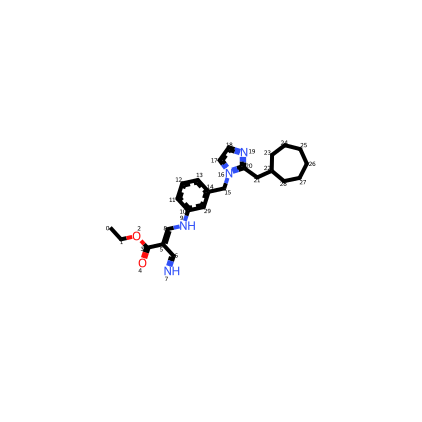 CCOC(=O)/C(C=N)=C/Nc1cccc(Cn2ccnc2CC2CCCCCC2)c1